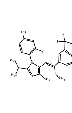 C=N/C(=N\c1c(C)nc(C(C)C)n1-c1ccc(O)cc1F)c1cccc(C(F)(F)F)c1